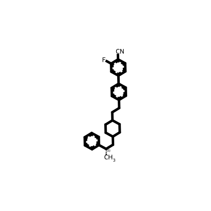 C[C@@H](CC1CCC(CCc2ccc(-c3ccc(C#N)c(F)c3)cc2)CC1)c1ccccc1